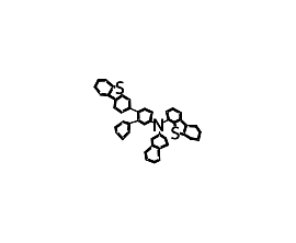 c1ccc(-c2cc(N(c3ccc4ccccc4c3)c3cccc4c3sc3ccccc34)ccc2-c2ccc3c(c2)sc2ccccc23)cc1